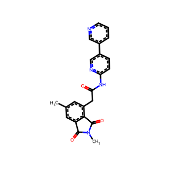 Cc1cc(CC(=O)Nc2ccc(-c3cccnc3)cn2)c2c(c1)C(=O)N(C)C2=O